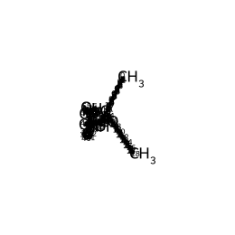 CCCCCCCCCCCCOc1cc(OCCCCCCCCCCCC)cc(C(=O)Nc2[nH]n(-c3ccccc3)c(=O)c2Sc2ccccc2[N+](=O)[O-])c1